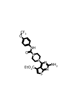 CCOC(=O)c1csc2nc(N)nc(N3CCN(C(=O)Nc4ccc(OC(F)(F)F)cc4)CC3)c12